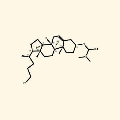 CC[C](O[C@H]1CC[C@@]2(C)C(=CC[C@H]3[C@@H]4CC[C@H]([C@H](C)CCCC(C)C)[C@@]4(C)CC[C@@H]32)C1)N(C)C